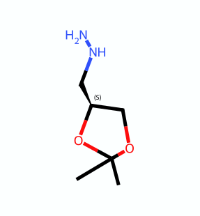 CC1(C)OC[C@H](CNN)O1